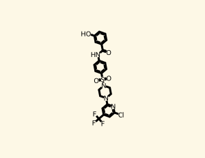 O=C(Nc1ccc(S(=O)(=O)N2CCN(c3cc(C(F)(F)F)cc(Cl)n3)CC2)cc1)c1cccc(O)c1